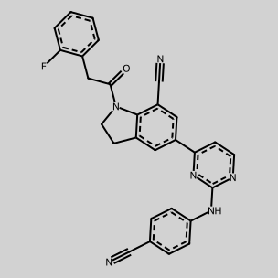 N#Cc1ccc(Nc2nccc(-c3cc(C#N)c4c(c3)CCN4C(=O)Cc3ccccc3F)n2)cc1